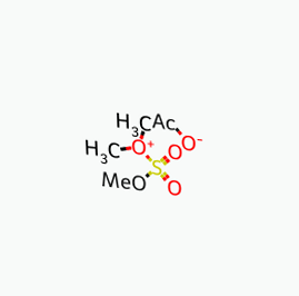 CC(=O)[O-].COS(=O)(=O)[O+](C)C